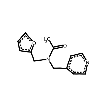 CC(=O)N(Cc1ccncc1)Cc1ccco1